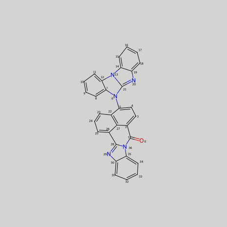 O=c1c2ccc(-n3c4ccccc4n4c5ccccc5nc34)c3cccc(c32)c2nc3ccccc3n12